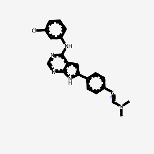 CN(C)/C=N/c1ccc(-c2cc3c(Nc4cccc(Cl)c4)ncnc3[nH]2)cc1